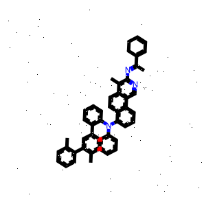 C/C(=N\c1ncc2c(ccc3c(N(c4ccccc4)c4ccccc4-c4ccc(C)c(-c5ccccc5C)c4)cccc32)c1C)C1=CC=CCC1